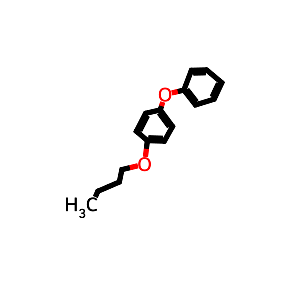 CCCCOc1ccc(Oc2ccccc2)cc1